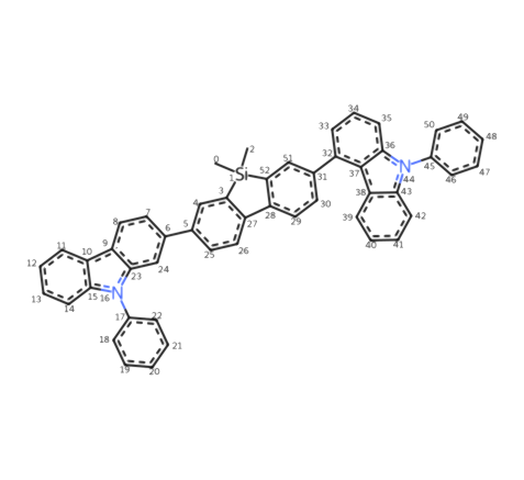 C[Si]1(C)c2cc(-c3ccc4c5ccccc5n(-c5ccccc5)c4c3)ccc2-c2ccc(-c3cccc4c3c3ccccc3n4-c3ccccc3)cc21